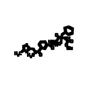 COCC(Cc1ccccc1)(NC(=O)OC(C)(C)C)C(=O)NNC(=O)c1cccc(C(=O)N(C)Cc2nc(C)cs2)c1